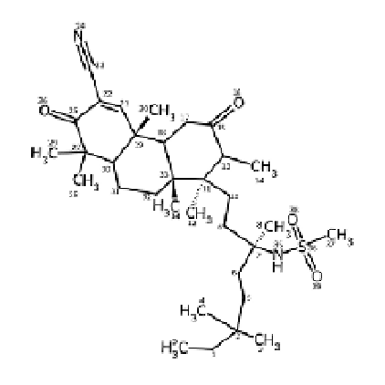 CCC(C)(C)CC[C@@](C)(CC[C@]1(C)C(C)C(=O)CC2[C@@]3(C)C=C(C#N)C(=O)C(C)(C)C3CC[C@]21C)NS(C)(=O)=O